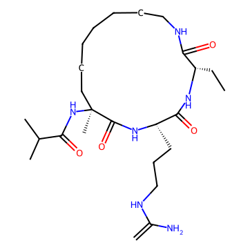 C=C(N)NCCC[C@@H]1NC(=O)[C@@](C)(NC(=O)C(C)C)CCCCCCCNC(=O)[C@H](CC)NC1=O